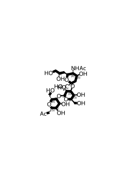 CC(=O)C[C@@H]1O[C@H](CO)[C@@H](O[C@@H]2O[C@H](CO)[C@H](O)[C@H](O[C@]3(C(=O)O)C[C@H](O)[C@@H](NC(C)=O)[C@H](C[C@H](O)CO)O3)[C@H]2O)[C@H](O)[C@H]1O